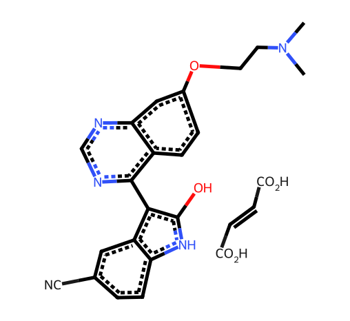 CN(C)CCOc1ccc2c(-c3c(O)[nH]c4ccc(C#N)cc34)ncnc2c1.O=C(O)C=CC(=O)O